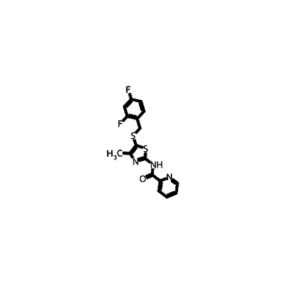 Cc1nc(NC(=O)c2ccccn2)sc1SCc1ccc(F)cc1F